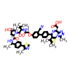 Cc1ncsc1-c1ccc(C(C)NC(=O)[C@@H]2C[C@@H](O)CN2C(=O)C(NC(=O)COc2ccc(-c3ccc(C4=N[C@@H](CC(=O)O)c5nnc(C)n5-c5sc(C)c(C)c54)cc3)c(C#N)c2)C(C)(C)C)cc1